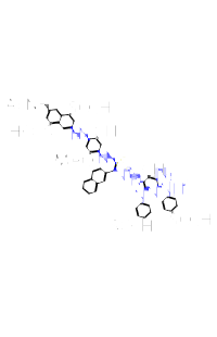 COc1cc(/N=N/c2cc(S(=O)(=O)O)c3cc(NC(C)=O)cc(S(=O)(=O)O)c3c2)c(C)cc1/N=N/c1sc(/N=N/c2c(Nc3ccc(S(=O)(=O)O)cc3)nc(Nc3ccc(S(=O)(=O)O)cc3)c(N)c2C)nc1-c1ccc2ccccc2c1